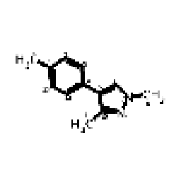 Cc1ccc(-c2cn(C)nc2C)cc1